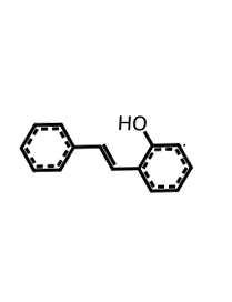 Oc1[c]cccc1/C=C/c1ccccc1